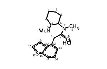 CNC1CCCCC1N(C)C(=O)Cc1cccc2sccc12.Cl